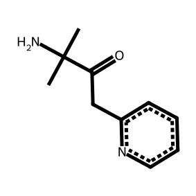 CC(C)(N)C(=O)Cc1ccccn1